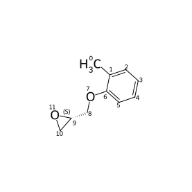 Cc1ccccc1OC[C@@H]1CO1